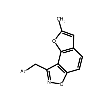 CC(=O)Cc1noc2ccc3cc(C)oc3c12